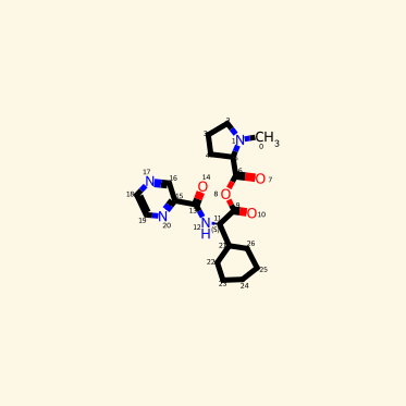 CN1CCCC1C(=O)OC(=O)[C@@H](NC(=O)c1cnccn1)C1CCCCC1